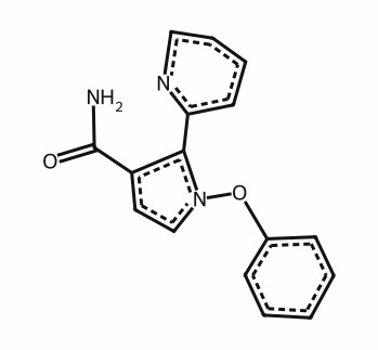 NC(=O)c1ccn(Oc2ccccc2)c1-c1ccccn1